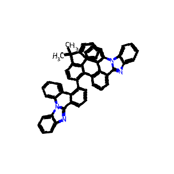 CC1(C)c2ccccc2-c2c1ccc(-c1cccc3c1c1ccccc1n1c4ccccc4nc31)c2-c1cccc2c1c1ccccc1n1c3ccccc3nc21